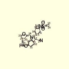 N#Cc1c(-c2ccc(NS(=O)(=O)C3CC3)cc2)n(CC2CCCO2)c2cc(OC(F)F)ccc12